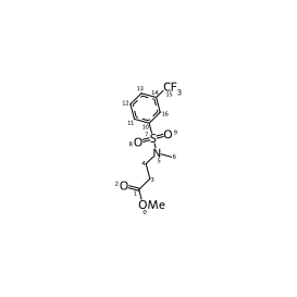 COC(=O)CCN(C)S(=O)(=O)c1cccc(C(F)(F)F)c1